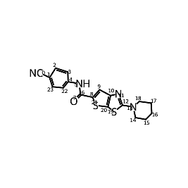 N#Cc1ccc(NC(=O)c2cc3nc(N4CCCCC4)sc3s2)cc1